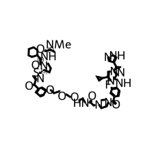 CN[C@@H](C)C(=O)N[C@H](C(=O)N1CCC[C@H]1c1nc(C(=O)c2cccc(OCCOCCOCCNC(=O)CN3CCN(C(=O)c4ccc(Nc5nc(C6CC6)cn6c(-c7cn[nH]c7)cnc56)c(F)c4)CC3)c2)cs1)C1CCCCC1